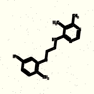 Cc1ccc(C(C)C)cc1OCCNc1ncnc(C)c1C